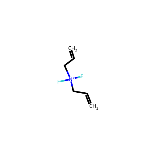 C=CC[N+](F)(F)CC=C